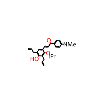 C=CCc1cc(/C=C/C(=O)c2ccc(NC)cc2)c(OC(C)C)c(CC=C)c1O